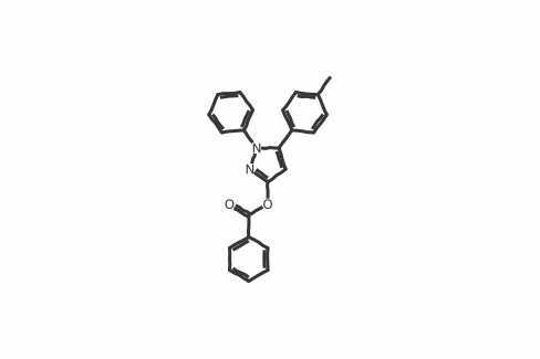 Cc1ccc(-c2cc(OC(=O)c3ccccc3)nn2-c2ccccc2)cc1